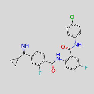 N=C(c1ccc(C(=O)Nc2ccc(F)cc2C(=O)Nc2ccc(Cl)cc2)c(F)c1)C1CC1